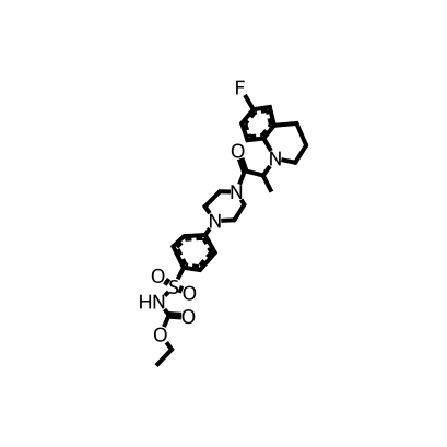 CCOC(=O)NS(=O)(=O)c1ccc(N2CCN(C(=O)C(C)N3CCCc4cc(F)ccc43)CC2)cc1